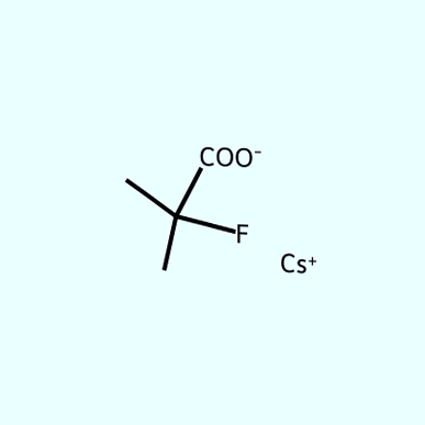 CC(C)(F)C(=O)[O-].[Cs+]